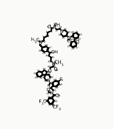 CN(CCCCCC(=O)N(C)CCN1CCC(N(C(=O)O)c2ccccc2-c2ccccc2)CC1)Cc1ccc(C(O)CCCN(C)C(=O)CO[C@H]2Cc3ccccc3C23CCN(CC[C@]2(c4ccc(F)cc4)CN(C(=O)c4cc(C(F)(F)F)cc(C(F)(F)F)c4)CO2)CC3)cc1